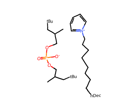 CC(COP(=O)([O-])OCC(C)CC(C)(C)C)CC(C)(C)C.CCCCCCCCCCCCCCCCCC[n+]1ccccc1